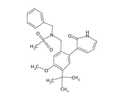 COc1cc(CN(Cc2ccccc2)S(C)(=O)=O)c(-c2ccc[nH]c2=O)cc1C(C)(C)C